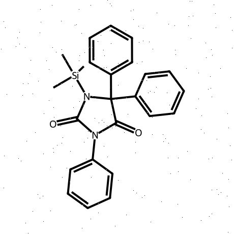 C[Si](C)(C)N1C(=O)N(c2ccccc2)C(=O)C1(c1ccccc1)c1ccccc1